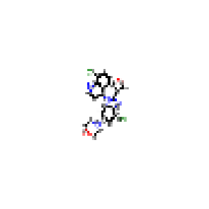 Clc1cccc2c(-n3c(C4COC4)nc4c(Br)cc(N5CCOCC5)cc43)ccnc12